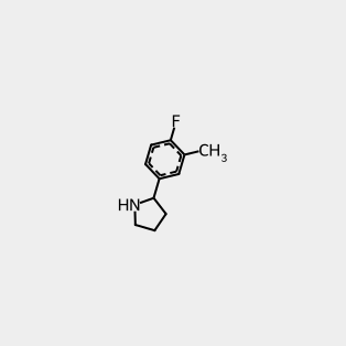 Cc1cc(C2CCCN2)ccc1F